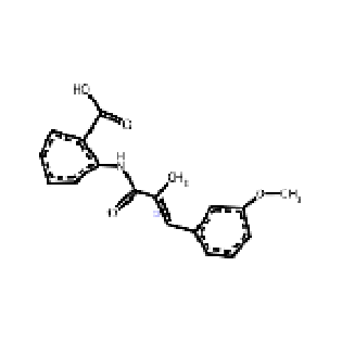 COc1cccc(/C=C(\C)C(=O)Nc2ccccc2C(=O)O)c1